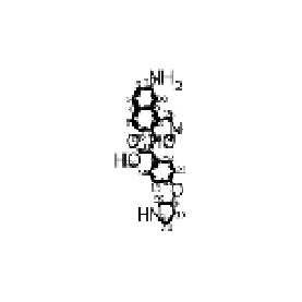 Nc1ccc2ccc(C[C@H](C(=O)O)c3ccc(O[C@H]4CCNC4)cc3)c(/C=N\O)c2c1